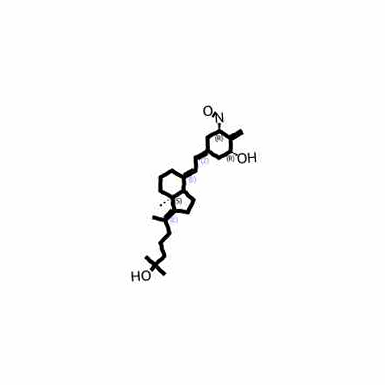 C=C1[C@H](O)C/C(=C\C=C2/CCC[C@]3(C)/C(=C(\C)CCCC(C)(C)O)CCC23)C[C@H]1N=O